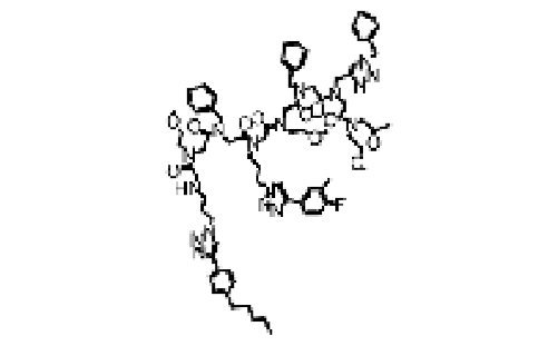 CCCCCc1ccc(-c2cn(CCCNCC(=O)N(CCOC)CC(=O)N(CC(=O)N(CCCn3cc(-c4ccc(F)c(C)c4)nn3)CC(=O)N(CCOC)CC(=O)N(CC(=O)N(CC(=O)N(CCOC)CC(C)=O)Cc3cn(Cc4ccccc4)nn3)Cc3ccccc3)Cc3ccccc3)nn2)cc1